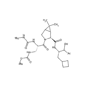 CC(=O)C(O)C(CC1CCC1)NC(=O)[C@@H]1C2C(CN1C(=O)[C@H](CNC(=O)OC(C)(C)C)NC(=O)NC(C)(C)C)C2(C)C